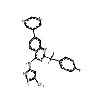 Cc1cc(Nc2nc(C(F)(F)c3ccc(F)cc3)nc3cc(-c4cncnc4)ccc23)n[nH]1